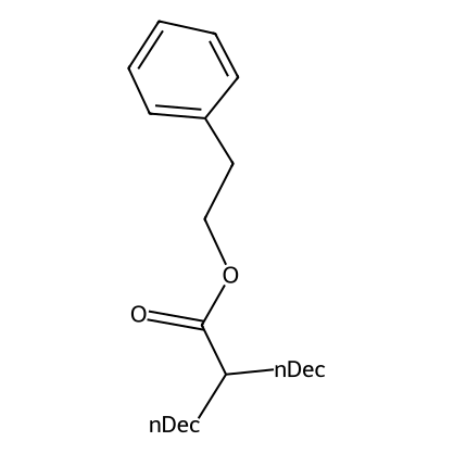 CCCCCCCCCCC(CCCCCCCCCC)C(=O)OCCc1ccccc1